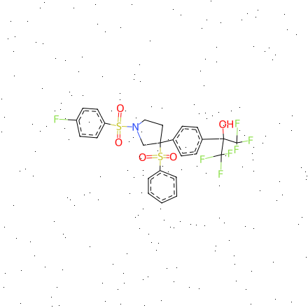 O=S(=O)(c1ccc(F)cc1)N1CCC(c2ccc(C(O)(C(F)(F)F)C(F)(F)F)cc2)(S(=O)(=O)c2ccccc2)C1